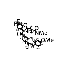 CNC(=O)OC(C)C(=O)NC(C(=O)N1CCN(C(=O)c2cc3ccc(OC)cc3n2C)CC1)C1CCC(F)(F)CC1